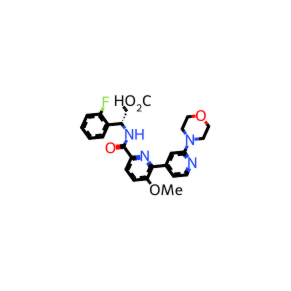 COc1ccc(C(=O)N[C@@H](CC(=O)O)c2ccccc2F)nc1-c1ccnc(N2CCOCC2)c1